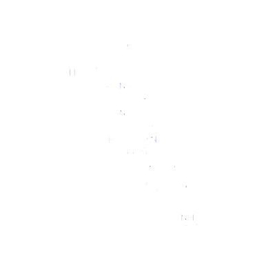 Cc1nc(N2CC(C)OC(C)C2)ccc1NC(=O)C1CC2(CC(N)C2)C1